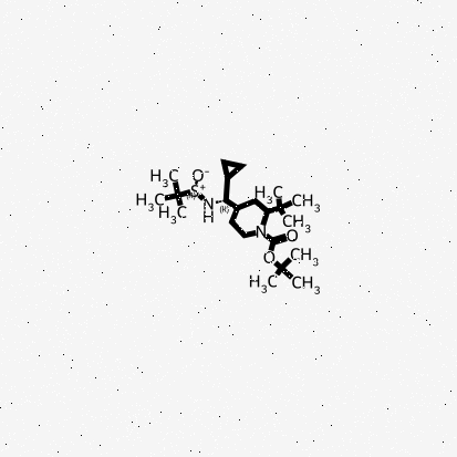 CC(C)(C)OC(=O)N1CCC([C@H](N[S@@+]([O-])C(C)(C)C)C2CC2)CC1C(C)(C)C